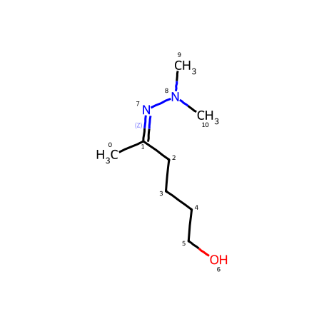 C/C(CCCCO)=N/N(C)C